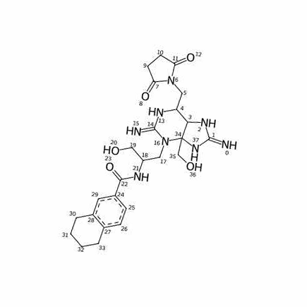 N=C1NC2C(CN3C(=O)CCC3=O)NC(=N)N(CC(CO)NC(=O)c3ccc4c(c3)CCCC4)C2(CO)N1